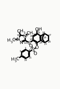 Cc1ccc(S(=O)(=O)Oc2c(SC3=NN(C)C(C)N3C)cc(O)c3c2C2CCC3CC2)cc1